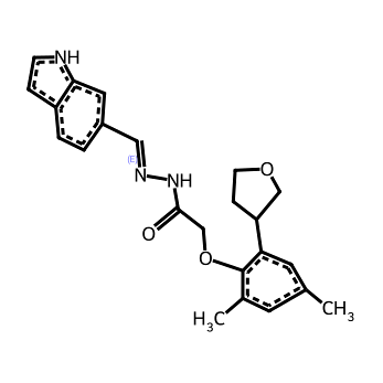 Cc1cc(C)c(OCC(=O)N/N=C/c2ccc3cc[nH]c3c2)c(C2CCOC2)c1